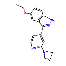 CCOc1ccc2[nH]nc(-c3ccnc(N4CCC4)c3)c2c1